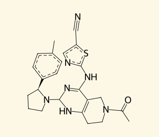 CC(=O)N1CCC2=C(C1)C(Nc1ncc(C#N)s1)=NC(N1CCC[C@H]1c1ccc(C)cc1)N2